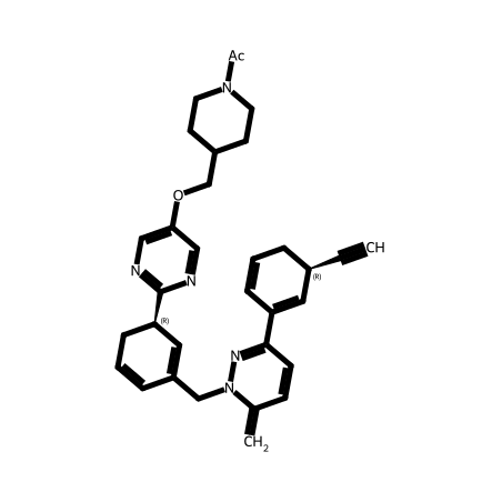 C#C[C@H]1C=C(C2=NN(CC3=C[C@H](c4ncc(OCC5CCN(C(C)=O)CC5)cn4)CC=C3)C(=C)C=C2)C=CC1